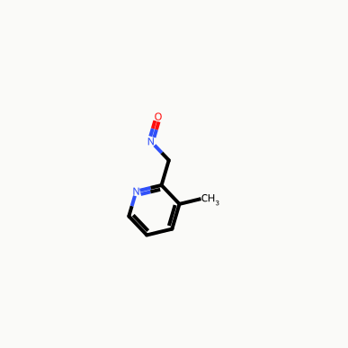 Cc1cccnc1CN=O